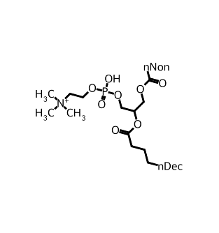 CCCCCCCCCCCCCC(=O)OC(COC(=O)CCCCCCCCC)COP(=O)(O)OCC[N+](C)(C)C